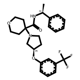 C[C@H](NC(=O)C1(N2CC[C@@H](Oc3cccc(C(F)(F)F)c3)C2)CCOCC1)c1ccccc1